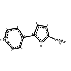 CNc1ccc(-c2ccncc2)s1